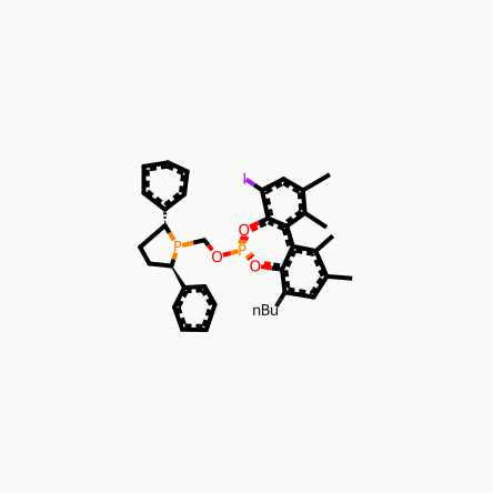 CCCCc1cc(C)c(C)c2c1op(OCP1[C@@H](c3ccccc3)CC[C@@H]1c1ccccc1)oc1c(I)cc(C)c(C)c12